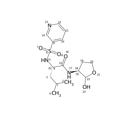 CC(C)C[C@H](NS(=O)(=O)c1cccnc1)C(=O)N[C@H]1CCOC1O